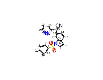 Cc1ccc(S(=O)(=O)n2ccc3ccc(C(C#N)c4cccnn4)cc32)cc1